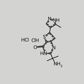 Cc1[nH]ncc1-c1cc2nc(C(C)(C)N)[nH]c(=O)c2s1.Cl.Cl